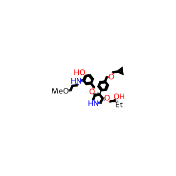 CC[C@@H](O)CO[C@@H]1CNC[C@H](OCc2ccc(O)c(NCCCOC)c2)[C@H]1c1ccc(COCC2CC2)cc1